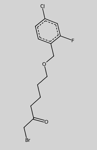 O=C(CBr)CCCCOCc1ccc(Cl)cc1F